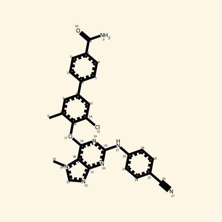 Cc1cc(-c2ccc(C(N)=O)cc2)cc(Cl)c1Oc1nc(Nc2ccc(C#N)cc2)nc2ncn(C)c12